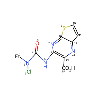 CCN(Cl)C(=O)Nc1nc2sccc2nc1C(=O)O